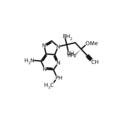 BC(B)(C[C@@](C#C)(CCC)OC)n1cnc2c(N)nc(PC)nc21